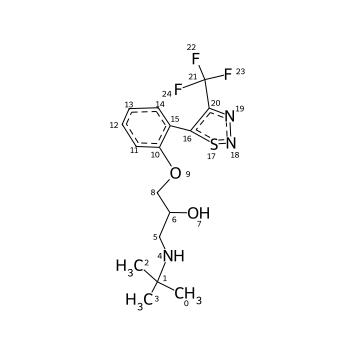 CC(C)(C)NCC(O)COc1ccccc1-c1snnc1C(F)(F)F